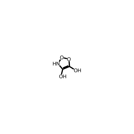 OC1=C(O)OON1